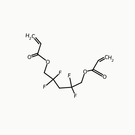 C=CC(=O)OCC(F)(F)CC(F)(F)COC(=O)C=C